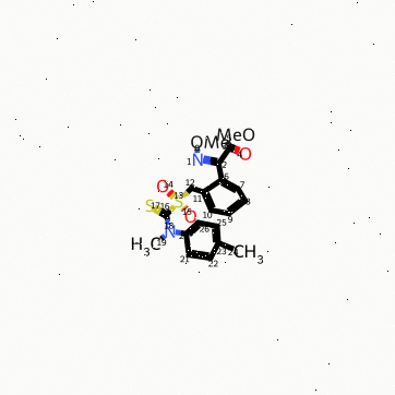 CON=C(C(=O)OC)c1ccccc1CS(=O)(=O)C(=S)N(C)c1ccc(C)cc1